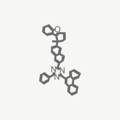 CC1(c2ccc3cc(-c4nc(-c5ccccc5)nc(-c5cc6ccccc6c6ccccc56)n4)ccc3c2)CC=Cc2oc3ccccc3c21